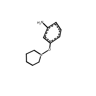 Nc1cccc(ON2CCCCC2)c1